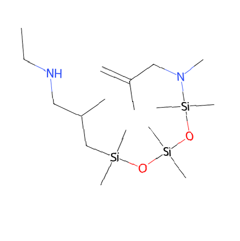 C=C(C)CN(C)[Si](C)(C)O[Si](C)(C)O[Si](C)(C)CC(C)CNCC